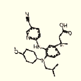 COC1CCC(N(CC(C)C)c2ccc([C@H](C)CC(=O)O)cc2Nc2ccc(C#N)cn2)CC1